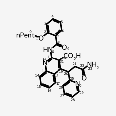 CCCCCOc1ccccc1C(=O)Nc1nc2ccccc2c(C(CC(N)=O)c2ccccn2)c1C(=O)O